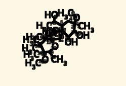 CO[C@]1(C)CC(C(C)O)[C@@](C)(C[C@]2(C)OC(C)[C@@](C)(OC)C(C)(C)C2(C)C)C(O)C1O